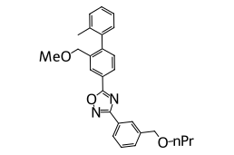 CCCOCc1cccc(-c2noc(-c3ccc(-c4ccccc4C)c(COC)c3)n2)c1